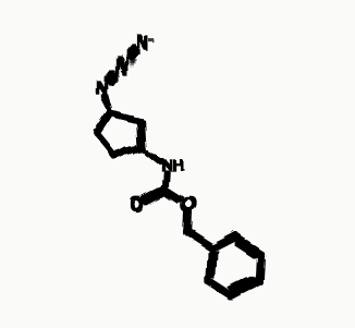 [N-]=[N+]=N[C@@H]1CC[C@H](NC(=O)OCc2ccccc2)C1